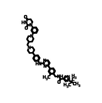 Cc1cc(-c2ccnc(Nc3ccc(C4CCN(CC5CCN(c6cccc(N7CCC(=O)NC7=O)c6)CC5)CC4)cc3)n2)ccc1CNC(=O)c1cnn(C(C)(C)C)c1